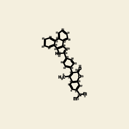 CCN(CC)c1ccc2c(C)c(-c3ccc(-c4nc5c6ccccc6c6ccccc6c5[nH]4)cc3)c(=O)oc2c1